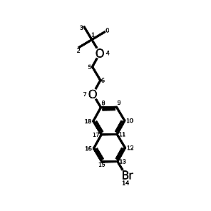 CC(C)(C)OCCOc1ccc2cc(Br)ccc2c1